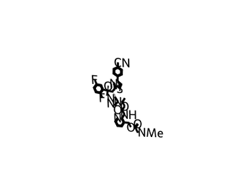 CNCC(=O)OCc1cccnc1NC(=O)OC(C)N1C=NN(C[C@](O)(c2cc(F)ccc2F)[C@@H](C)c2nc(-c3ccc(C#N)cc3)cs2)C1